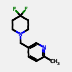 Cc1ccc(CN2CCC(F)(F)CC2)cn1